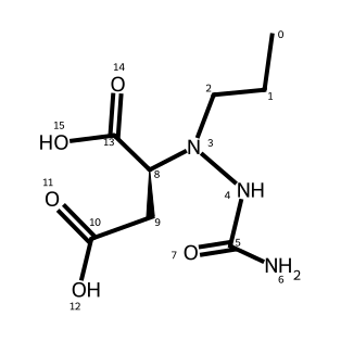 CCCN(NC(N)=O)[C@@H](CC(=O)O)C(=O)O